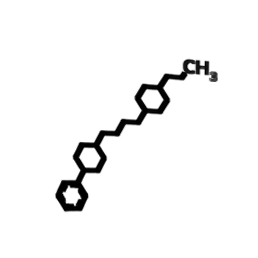 CCCC1CCC(CCCCC2CCC(c3ccccc3)CC2)CC1